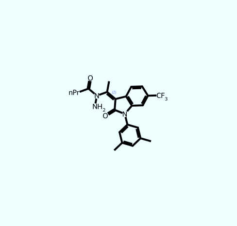 CCCC(=O)N(N)/C(C)=C1\C(=O)N(c2cc(C)cc(C)c2)c2cc(C(F)(F)F)ccc21